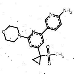 CS(=O)(=O)C1(c2cc(-c3ccc(N)nc3)nc(N3CCOCC3)n2)CC1